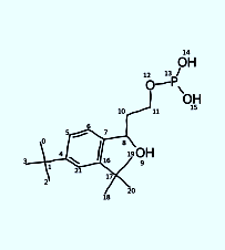 CC(C)(C)c1ccc(C(O)CCOP(O)O)c(C(C)(C)C)c1